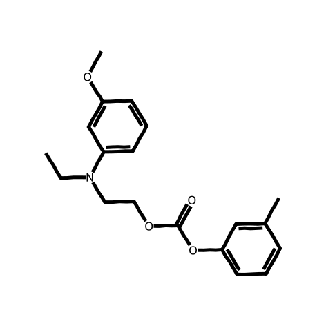 CCN(CCOC(=O)Oc1cccc(C)c1)c1cccc(OC)c1